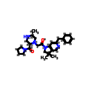 C[C@@H]1CN(CC(=O)N2CC(C)(C)c3cnc(Cc4ccccc4)cc32)[C@@H](C(=O)N2CCCC2)CN1